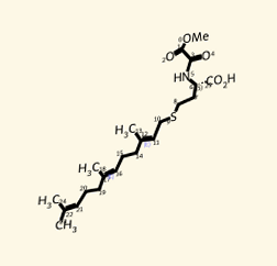 COC(=O)C(=O)N[C@@H](CCSC/C=C(\C)CC/C=C(\C)CCC=C(C)C)C(=O)O